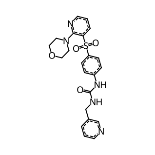 O=C(NCc1cccnc1)Nc1ccc(S(=O)(=O)c2cccnc2N2CCOCC2)cc1